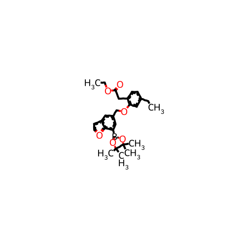 CCOC(=O)Cc1ccc(CC)cc1OCc1cc(B2OC(C)(C)C(C)(C)O2)c2occc2c1